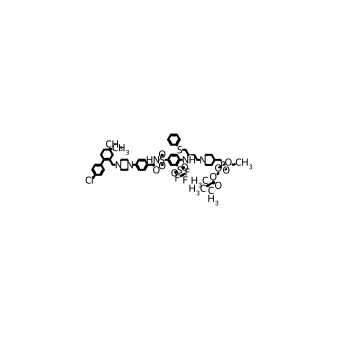 CCOP(=O)(CC1CCN(CC[C@H](CSc2ccccc2)Nc2ccc(S(=O)(=O)NC(=O)c3ccc(N4CCN(CC5=C(c6ccc(Cl)cc6)CCC(C)(C)C5)CC4)cc3)cc2S(=O)(=O)C(F)(F)F)CC1)OCOC(=O)C(C)(C)C